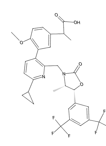 COc1ccc(C(C)C(=O)O)cc1-c1ccc(C2CC2)nc1CN1C(=O)O[C@H](c2cc(C(F)(F)F)cc(C(F)(F)F)c2)[C@@H]1C